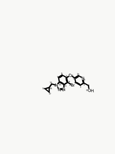 OCc1ccc(Oc2ccc3c(nnn3CC3CC3)c2Br)cn1